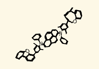 C=C1/C=C\C=C(\c2cc(C)c(N(c3ccccc3)c3ccc4ccc5c(N(c6ccccc6)c6c(C)cc(-c7cccc8c7oc7ccccc78)cc6C)ccc6ccc3c4c65)c(C)c2)COc2ccccc21